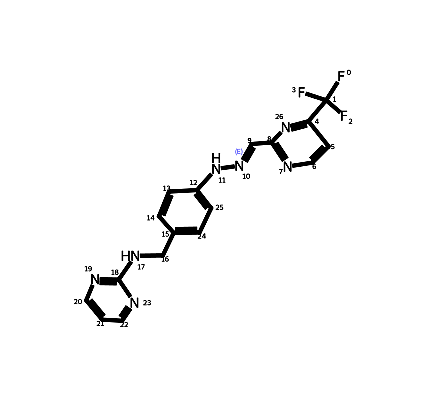 FC(F)(F)c1ccnc(/C=N/Nc2ccc(CNc3ncccn3)cc2)n1